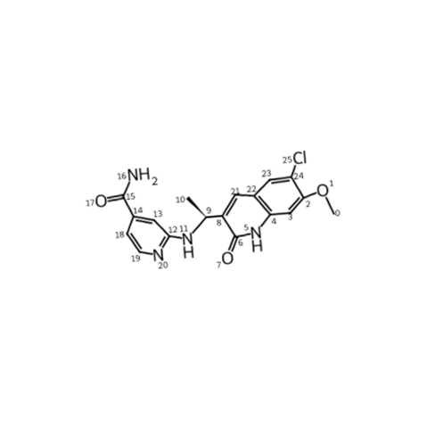 COc1cc2[nH]c(=O)c([C@H](C)Nc3cc(C(N)=O)ccn3)cc2cc1Cl